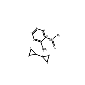 C1CC1C1CC1.Nc1ccccc1[N+](=O)[O-]